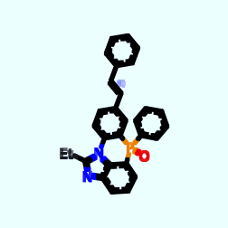 CCc1nc2cccc3c2n1-c1ccc(/C=C/c2ccccc2)cc1P3(=O)c1ccccc1